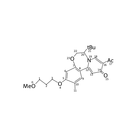 COCCCOc1cc2c(cc1C)-c1cc(=O)c(C(C)=O)cn1C(C(C)(C)C)CO2